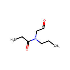 BCC(=O)N(CC=O)CCC